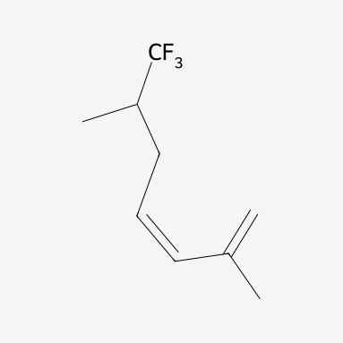 C=C(C)/C=C\CC(C)C(F)(F)F